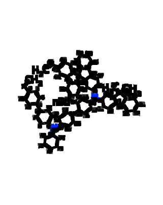 C=Cc1ccc(-c2ccc3c(c2)c2cc(-c4ccc(N(c5ccc6c(c5)C(C)(C)c5ccccc5-6)c5ccc6c(c5)C(c5ccc(C=C)cc5)(c5ccc(CCCC)cc5)c5ccccc5-6)cc4)ccc2n3-c2ccccc2)cc1